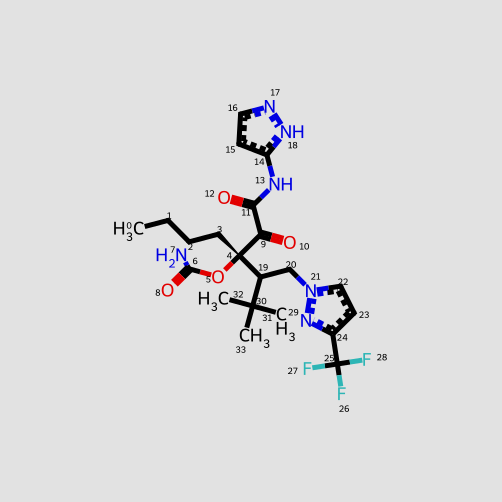 CCCC[C@@](OC(N)=O)(C(=O)C(=O)Nc1ccn[nH]1)C(Cn1ccc(C(F)(F)F)n1)C(C)(C)C